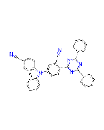 N#Cc1ccc2c(c1)c1ccccc1n2-c1ccc(-c2nc(-c3ccccc3)nc(-c3ccccc3)n2)c(C#N)c1